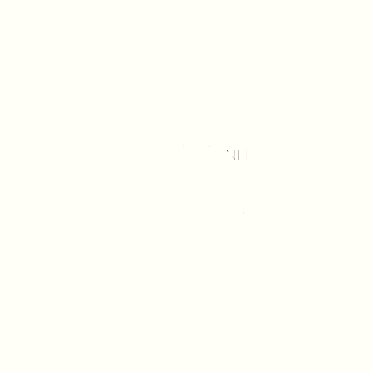 C[CH]c1c[nH]c2ccc(S(C)(=O)=O)cc12